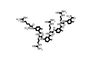 N=C(N)NCCC[C@@H](N)C(=O)Nc1ccc(F)c(C(=O)N[C@H](CCCNC(=N)N)C(=O)Nc2ccc(F)c(C(=O)N[C@H](CCCNC(=N)N)C(=O)Nc3ccc(F)c(C(=O)N[C@H](CCCNC(=N)N)C(=O)Nc4ccc(F)c(C(N)=O)c4)c3)c2)c1